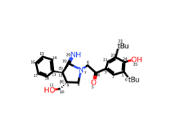 CC(C)(C)c1cc(C(=O)CN2C[C@H](CO)[C@@H](c3ccccc3)C2=N)cc(C(C)(C)C)c1O